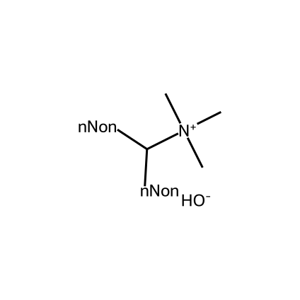 CCCCCCCCCC(CCCCCCCCC)[N+](C)(C)C.[OH-]